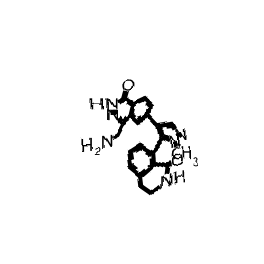 Cn1ncc(-c2ccc3c(=O)[nH]nc(CN)c3c2)c1-c1cccc2c1C(=O)NCC2